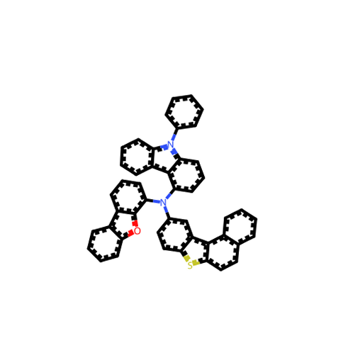 c1ccc(-n2c3ccccc3c3c(N(c4ccc5sc6ccc7ccccc7c6c5c4)c4cccc5c4oc4ccccc45)cccc32)cc1